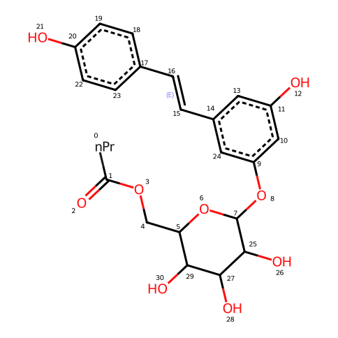 CCCC(=O)OCC1OC(Oc2cc(O)cc(/C=C/c3ccc(O)cc3)c2)C(O)C(O)C1O